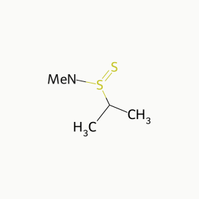 CNS(=S)C(C)C